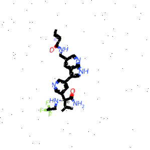 C/C=C/C(=O)NCc1cnc2[nH]cc(-c3cncc([C@@](NCC(F)(F)F)(C(N)=O)C(C)C)c3)c2c1